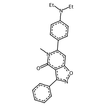 CCN(CC)c1ccc(-c2cc3onc(-c4ccccc4)c3c(=O)n2C)cc1